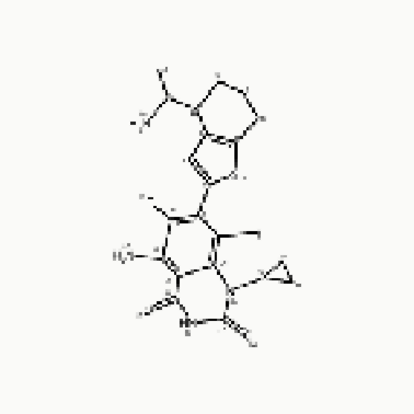 Cc1c(-c2cc3c(s2)CCCC3C(C)N)c(F)c(N)c2c(=O)[nH]c(=O)n(C3CC3)c12